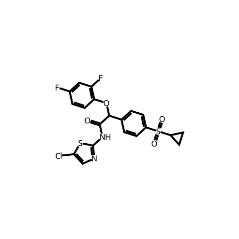 O=C(Nc1ncc(Cl)s1)C(Oc1ccc(F)cc1F)c1ccc(S(=O)(=O)C2CC2)cc1